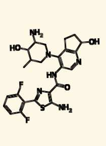 CC1CN(c2c(NC(=O)c3nc(-c4c(F)cccc4F)sc3N)cnc3c2CCC3O)CC(N)C1O